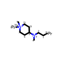 CC(C)CCN(C)C1CC[N+](C)(C(C)C)CC1